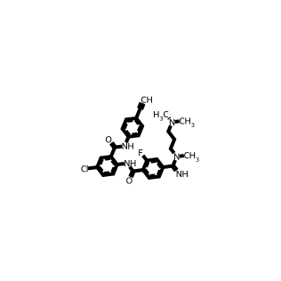 C#Cc1ccc(NC(=O)c2cc(Cl)ccc2NC(=O)c2ccc(C(=N)N(C)CCCN(C)C)cc2F)cc1